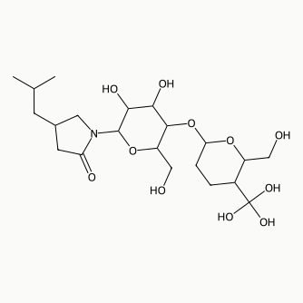 CC(C)CC1CC(=O)N(C2OC(CO)C(OC3CCC(C(O)(O)O)C(CO)O3)C(O)C2O)C1